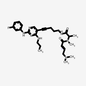 CCCNc1nc(Nc2cccc(F)c2)ncc1C#CCCCNC(=O)C(C)N(C)C(=O)/C=C/CN(C)C